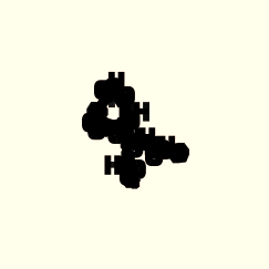 COC(=O)[C@@H]1Cc2ccc(OC)c(c2)-c2cc(ccc2OC)[C@H](N(C)C(=O)[C@H](CCCCNC(=O)OC(C)(C)C)NC(=O)CCNC(=O)OCc2ccccc2)C(=O)N[C@@H](C)C(=O)N1